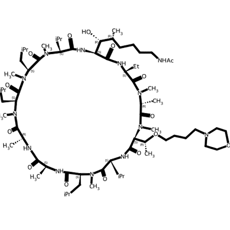 CC[C@@H]1NC(=O)[C@H]([C@H](O)[C@H](C)CCCCNC(C)=O)NC(=O)[C@H](C(C)C)N(C)C(=O)[C@H](CC(C)C)N(C)C(=O)[C@H](CC(C)C)N(C)C(=O)[C@@H](C)NC(=O)[C@H](C)NC(=O)[C@H](CC(C)C)N(C)C(=O)[C@H](C(C)C)NC(=O)[C@H]([C@@H](C)OCCCCN2CCOCC2)N(C)C(=O)[C@@H](C)N(C)C1=O